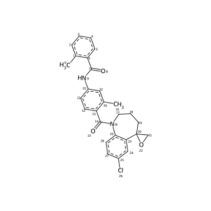 Cc1ccccc1C(=O)Nc1ccc(C(=O)N2CCCC3(CO3)c3cc(Cl)ccc32)c(C)c1